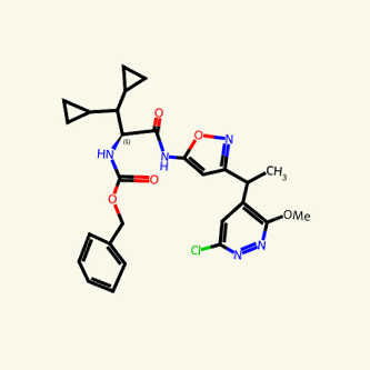 COc1nnc(Cl)cc1C(C)c1cc(NC(=O)[C@@H](NC(=O)OCc2ccccc2)C(C2CC2)C2CC2)on1